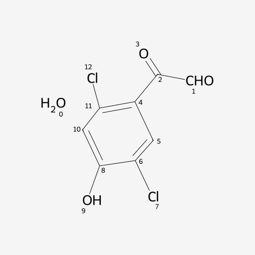 O.O=CC(=O)c1cc(Cl)c(O)cc1Cl